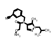 Cc1c(N(Cc2cccc(C#N)c2)C(=O)CON)cnn1CC(C)C